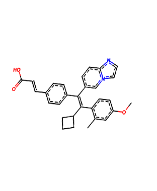 COc1ccc(C(=C(c2ccc(C=CC(=O)O)cc2)c2ccc3nccn3c2)C2CCC2)c(C)c1